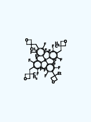 CCC1(c2c(F)c(F)c([B-](c3c(F)c(F)c(CC4(C)COC4)c(F)c3F)(c3c(F)c(F)c(CC4(C)COC4)c(F)c3F)c3c(F)c(F)c(CC4(C)COC4)c(F)c3F)c(F)c2F)COC1